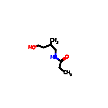 CCC(=O)NCC(C)CCO